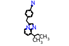 CCC(C)c1cccn2c(Cc3ccc(C#N)cc3)cnc12